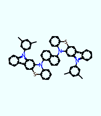 Cc1cc(C)cc(-n2c3ccccc3c3cc4c(cc32)N(c2cccc3c(N5c6ccccc6Sc6cc7c8ccccc8n(-c8cc(C)cc(C)c8)c7cc65)cccc23)c2ccccc2S4)c1